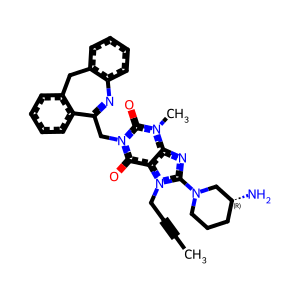 CC#CCn1c(N2CCC[C@@H](N)C2)nc2c1c(=O)n(CC1=Nc3ccccc3Cc3ccccc31)c(=O)n2C